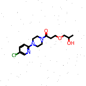 CC(O)COCCC(=O)N1CCN(c2ccc(Cl)cn2)CC1